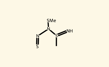 CSN(N=S)S(C)=N